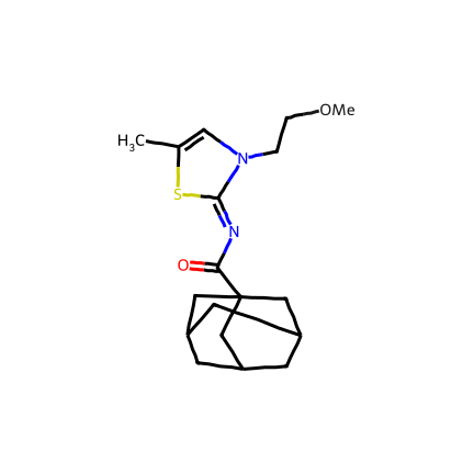 COCCn1cc(C)sc1=NC(=O)C12CC3CC(CC(C3)C1)C2